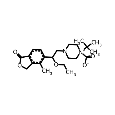 CCOC(CN1CC[N+](C(=O)[O-])(C(C)(C)C)CC1)c1ccc2c(c1C)COC2=O